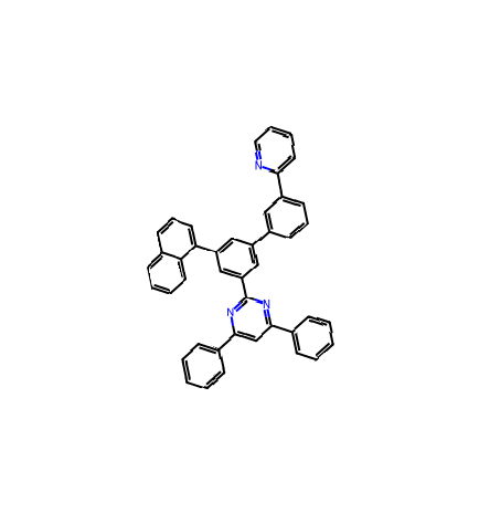 c1ccc(-c2cc(-c3ccccc3)nc(-c3cc(-c4cccc(-c5ccccn5)c4)cc(-c4cccc5ccccc45)c3)n2)cc1